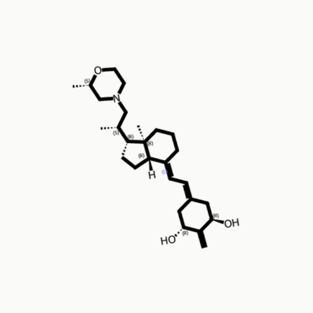 C=C1[C@H](O)CC(=C/C=C2\CCC[C@]3(C)[C@@H]([C@H](C)CN4CCO[C@@H](C)C4)CC[C@@H]23)C[C@H]1O